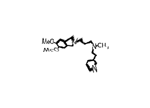 COc1cc2c(cc1OC)CN(CCCN(C)CCc1cccnc1)C2